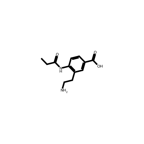 CCC(=O)Nc1ccc(C(=O)O)cc1CCN